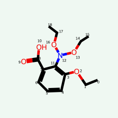 CCOc1cccc(C(=O)O)c1N(OCC)OCC